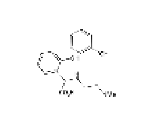 CNCCNC(C(=O)O)c1ccccc1O.Oc1ccccc1